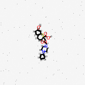 COC(=O)C1(CCCN2CCN(c3ccccc3)CC2)Sc2cc(OC)ccc2CCC1O